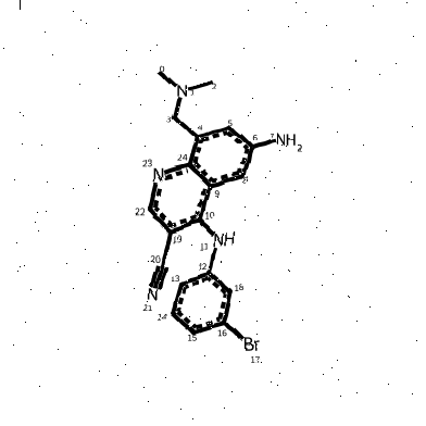 CN(C)Cc1cc(N)cc2c(Nc3cccc(Br)c3)c(C#N)cnc12